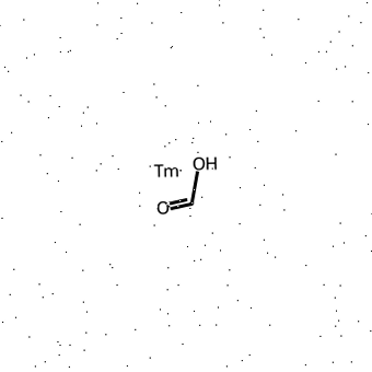 O=CO.[Tm]